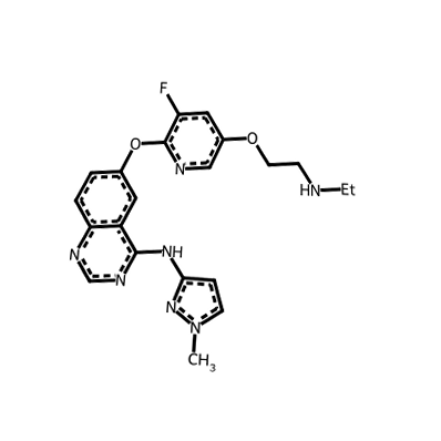 CCNCCOc1cnc(Oc2ccc3ncnc(Nc4ccn(C)n4)c3c2)c(F)c1